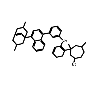 CCC1CCC(C)CC(C)(C2=C(Nc3cccc(-c4ccc(C56C=C(CC(C)C5)CC(C)C6)c5ccccc45)c3)C=CCC2)C1